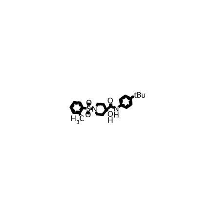 Cc1ccccc1S(=O)(=O)N1CCC(O)(C(=O)Nc2ccc(C(C)(C)C)cc2)CC1